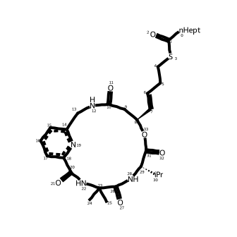 CCCCCCCC(=O)SCC/C=C/[C@@H]1CC(=O)NCc2cccc(n2)C(=O)NC(C)(C)C(=O)N[C@@H](C(C)C)C(=O)O1